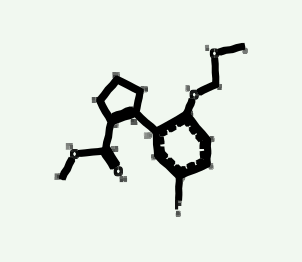 COCOc1ccc(F)cc1C1=C(C(=O)OC)CCC1